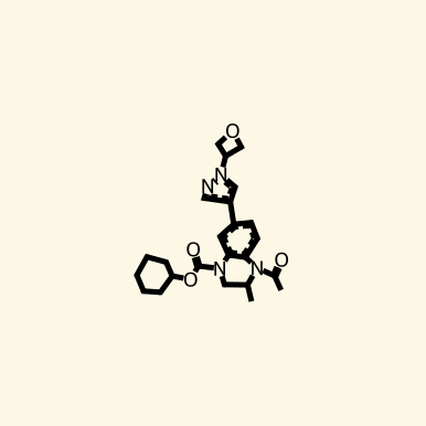 CC(=O)N1c2ccc(-c3cnn(C4COC4)c3)cc2N(C(=O)OC2CCCCC2)CC1C